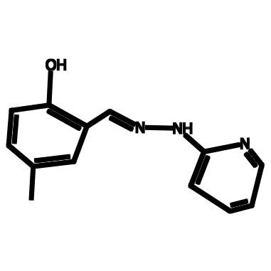 Cc1ccc(O)c(C=NNc2ccccn2)c1